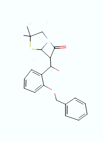 CC1(C)S[C@@H]2C(C(O)c3ccccc3OCc3ccccc3)C(=O)N2[C@H]1C#N